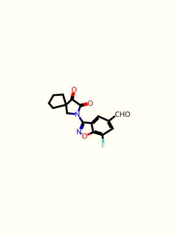 O=Cc1cc(F)c2onc(N3CC4(CCCC4)C(=O)C3=O)c2c1